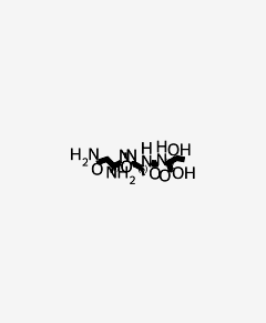 CC(O)[C@H](NC(=O)N[C@@H](C)c1nnc([C@@H](N)CC(N)=O)o1)C(=O)O